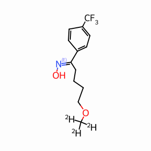 [2H]C([2H])([2H])OCCCC/C(=N\O)c1ccc(C(F)(F)F)cc1